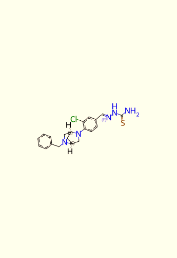 NC(=S)N/N=C/c1ccc(N2C[C@@H]3C[C@H]2CN3Cc2ccccc2)c(Cl)c1